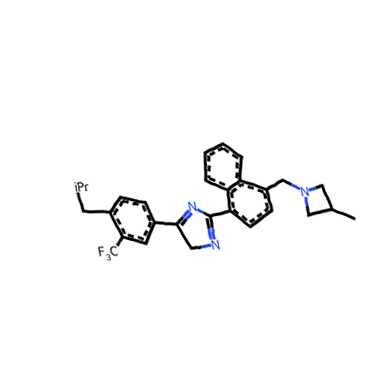 CC(C)Cc1ccc(C2=NC(c3ccc(CN4CC(C)C4)c4ccccc34)=NC2)cc1C(F)(F)F